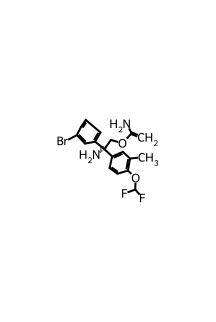 C=C(N)OC[C@](N)(c1cccc(Br)c1)c1ccc(OC(F)F)c(C)c1